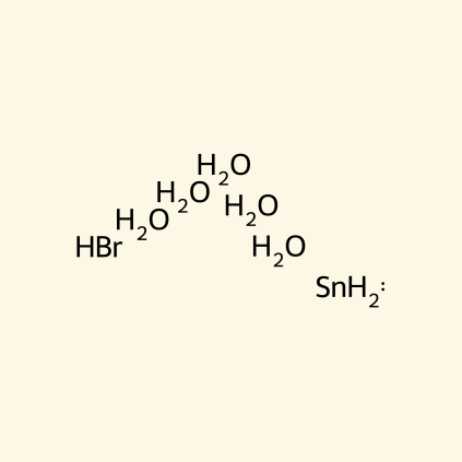 Br.O.O.O.O.O.[SnH2]